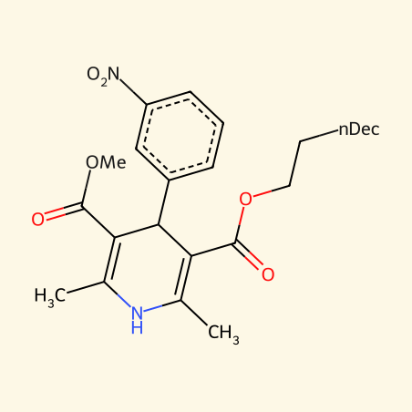 CCCCCCCCCCCCOC(=O)C1=C(C)NC(C)=C(C(=O)OC)C1c1cccc([N+](=O)[O-])c1